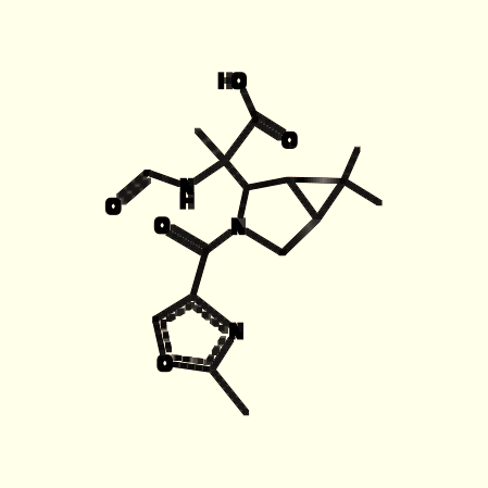 Cc1nc(C(=O)N2CC3C(C2C(C)(NC=O)C(=O)O)C3(C)C)co1